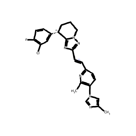 Cc1cn(-c2ccc(/C=C/c3nc4n(n3)CCC[C@H]4c3ccc(F)c(Cl)c3)nc2C)cn1